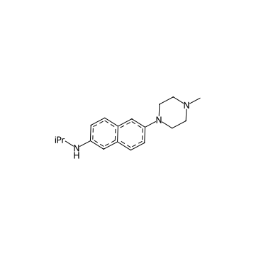 CC(C)Nc1ccc2cc(N3CCN(C)CC3)ccc2c1